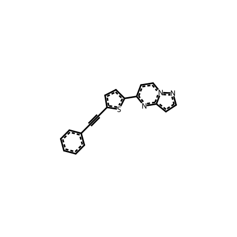 C(#Cc1ccc(-c2ccn3nccc3n2)s1)c1ccccc1